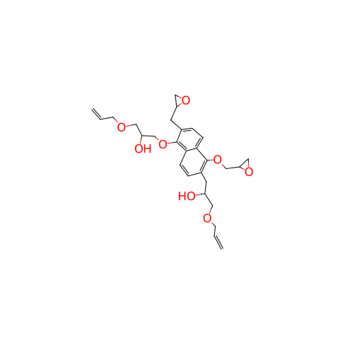 C=CCOCC(O)COc1c(CC2CO2)ccc2c(OCC3CO3)c(CC(O)COCC=C)ccc12